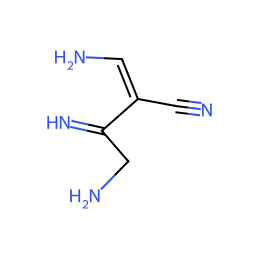 N#C/C(=C/N)C(=N)CN